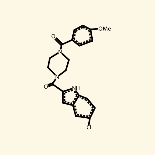 COc1ccc(C(=O)N2CCN(C(=O)c3cc4cc(Cl)ccc4[nH]3)CC2)cc1